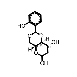 Oc1ccccc1C1OC[C@H]2OC(O)C[C@@H](O)[C@@H]2O1